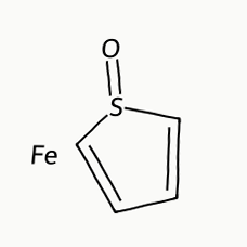 O=S1C=CC=C1.[Fe]